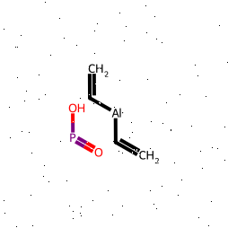 C=[CH][Al][CH]=C.O=PO